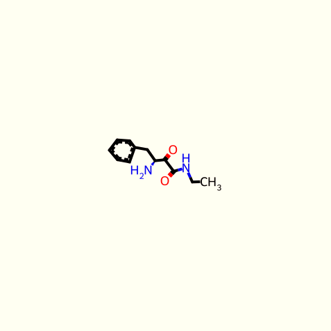 CCNC(=O)C(=O)[C@@H](N)Cc1ccccc1